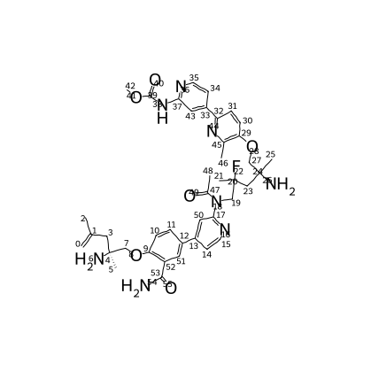 C=C(C)C[C@](C)(N)COc1ccc(-c2ccnc(N(CC(C)(F)CC(C)(N)COc3ccc(-c4ccnc(NC(=O)OC)c4)nc3C)C(C)=O)c2)cc1C(N)=O